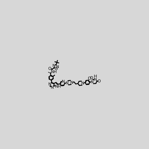 Cc1cc(-c2ncnc3[nH]c(-c4ccc(N5CCN(CCC6CCN(c7ccc(N8CCC(=O)NC8=O)c(Cl)c7)CC6)CC5)nc4)cc23)ccc1[C@@H](C)NC(=O)c1nc(C(C)(C)C)no1